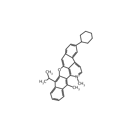 Cc1c2c(c(C(C)C)c3ccccc13)Oc1cc3ccc(C4CCCCC4)cc3c3cc[n+](C)c-2c13